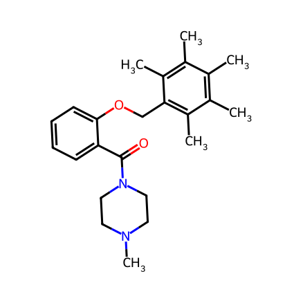 Cc1c(C)c(C)c(COc2ccccc2C(=O)N2CCN(C)CC2)c(C)c1C